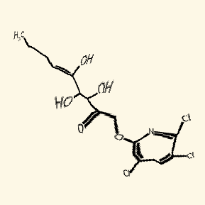 CCCC=C(O)C(O)C(O)C(=O)COc1nc(Cl)c(Cl)cc1Cl